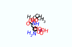 CC(C)(C)OC(=O)N[C@@H](Cc1ccc(OP(=O)(O)O)c(N)c1)C(=O)O